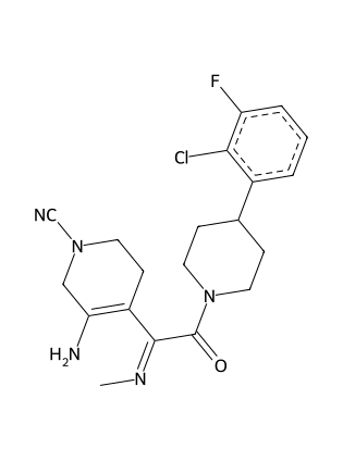 C/N=C(/C(=O)N1CCC(c2cccc(F)c2Cl)CC1)C1=C(N)CN(C#N)CC1